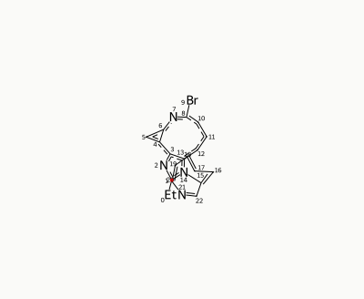 CCc1nc2c3cc-3nc(Br)cccc2n1C1=C\C=C\C=C/N=C\1